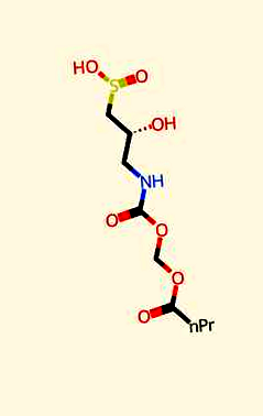 CCCC(=O)OCOC(=O)NC[C@@H](O)CS(=O)O